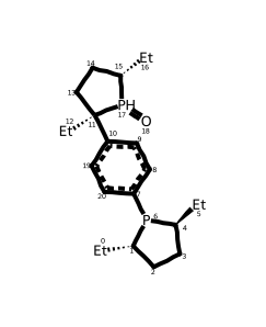 CC[C@H]1CC[C@H](CC)P1c1ccc([C@@]2(CC)CC[C@H](CC)[PH]2=O)cc1